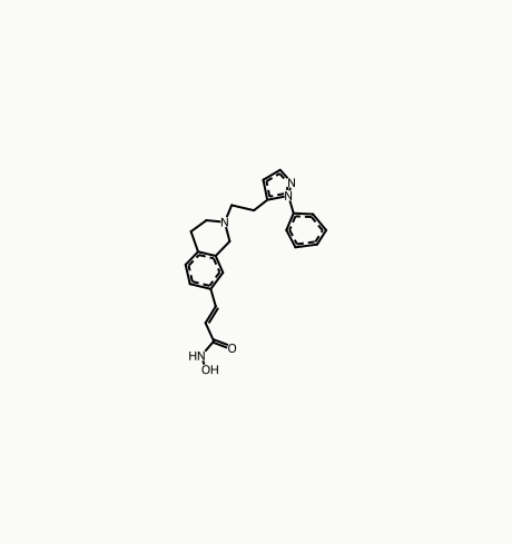 O=C(C=Cc1ccc2c(c1)CN(CCc1ccnn1-c1ccccc1)CC2)NO